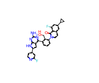 Nc1nc(-c2cccc(-n3ccc4cc(C5CC5)cc(F)c4c3=O)c2CO)c2cc(-c3ccnc(F)c3)[nH]c2n1